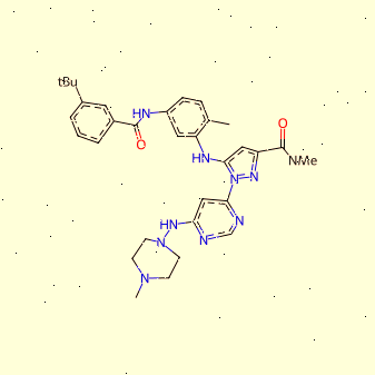 CNC(=O)c1cc(Nc2cc(NC(=O)c3cccc(C(C)(C)C)c3)ccc2C)n(-c2cc(NN3CCN(C)CC3)ncn2)n1